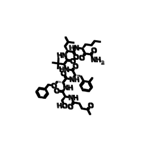 CCCC[C@H](NC(=O)[C@H](CC(C)C)NC(=O)[C@@H](NC(=O)[C@H](Cc1ccccc1C)NC(=O)[C@@H](COCc1ccccc1)NC(=O)[C@H](CO)NC(=O)CCC(C)=O)C(C)(C)C)C(=O)C(N)=O